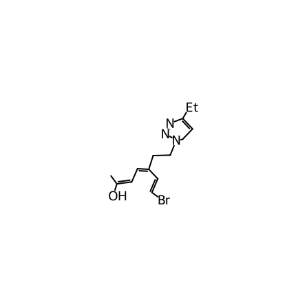 CCC1=CCN(CCC(=C/C=C(\C)O)/C=C/Br)N=N1